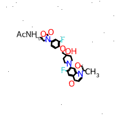 CC(=O)NC[C@H]1CN(c2ccc(OCC3(O)CCN(c4c(F)cc5c(=O)ccn6c5c4OCC6C)CC3)c(F)c2)C(=O)O1